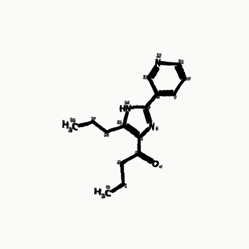 CCCC(=O)c1nc(-c2cccnc2)[nH]c1CCC